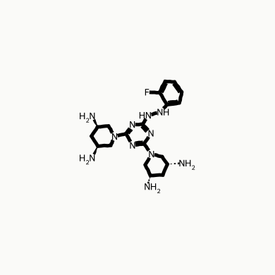 N[C@@H]1C[C@H](N)CN(c2nc(NNc3ccccc3F)nc(N3C[C@H](N)C[C@H](N)C3)n2)C1